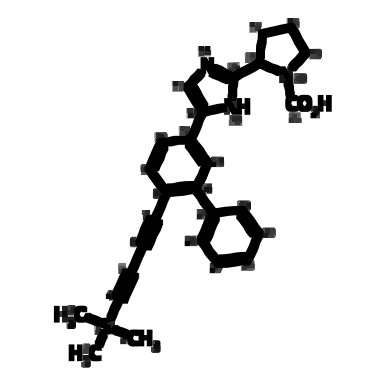 C[Si](C)(C)C#CC#Cc1ccc(-c2cnc(C3CCCN3C(=O)O)[nH]2)cc1-c1ccccc1